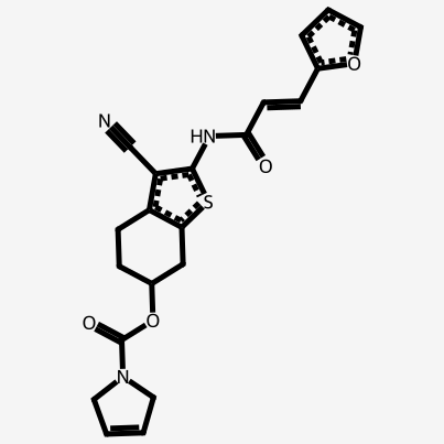 N#Cc1c(NC(=O)C=Cc2ccco2)sc2c1CCC(OC(=O)N1CC=CC1)C2